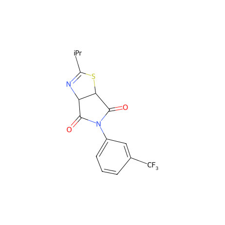 CC(C)C1=NC2C(=O)N(c3cccc(C(F)(F)F)c3)C(=O)C2S1